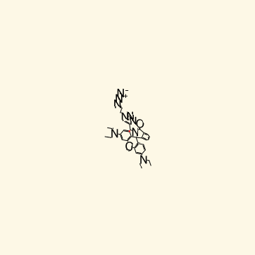 CCN(CC)c1ccc2c(c1)Oc1cc(N(CC)CC)ccc1C21c2ccccc2C(=O)N1Cc1cn(CCN=[N+]=[N-])nn1